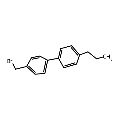 CCCc1ccc(-c2ccc(CBr)cc2)cc1